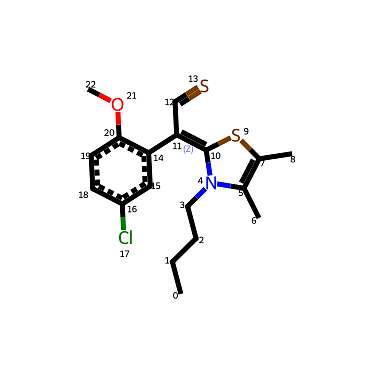 CCCCN1C(C)=C(C)S/C1=C(\C=S)c1cc(Cl)ccc1OC